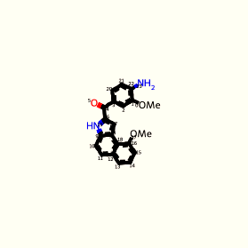 COc1cc(C(=O)c2cc3c(ccc4cccc(OC)c43)[nH]2)ccc1N